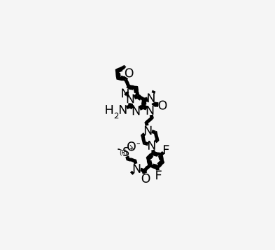 CN(CC[S@+](C)[O-])C(=O)c1cc(N2CCN(CCn3c(=O)n(C)c4c3nc(N)n3nc(-c5ccco5)cc43)CC2)c(F)cc1F